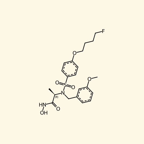 COc1cccc(CN([C@H](C)C(=O)NO)S(=O)(=O)c2ccc(OCCCCF)cc2)c1